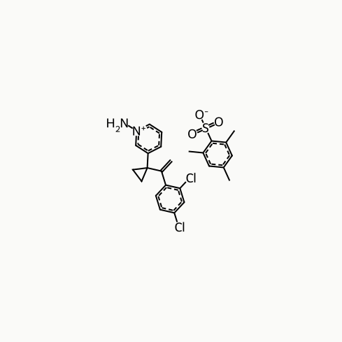 C=C(c1ccc(Cl)cc1Cl)C1(c2ccc[n+](N)c2)CC1.Cc1cc(C)c(S(=O)(=O)[O-])c(C)c1